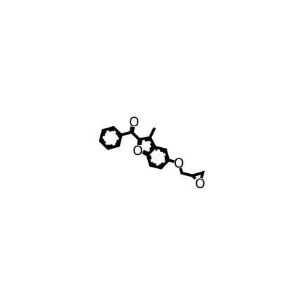 Cc1c(C(=O)c2ccccc2)oc2ccc(OCC3CO3)cc12